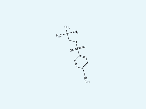 C#Cc1ccc(S(=O)(=O)OCC(C)(C)C)cc1